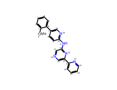 COc1ccccc1-c1ccc(Nc2cncc(-c3ccccn3)n2)nc1